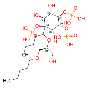 CCCCCOC[C@H](CO)OC(CCCC)[C@]1(OP(=O)(O)O)[C@@H](O)[C@H](O)[C@@H](OP(=O)(O)O)[C@H](OP(=O)(O)O)[C@@H]1O